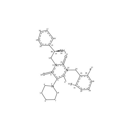 Cc1c(N2CCCCC2)c(=O)n(C[C@H](N)c2ccccc2)c(=O)n1Cc1c(F)cccc1F